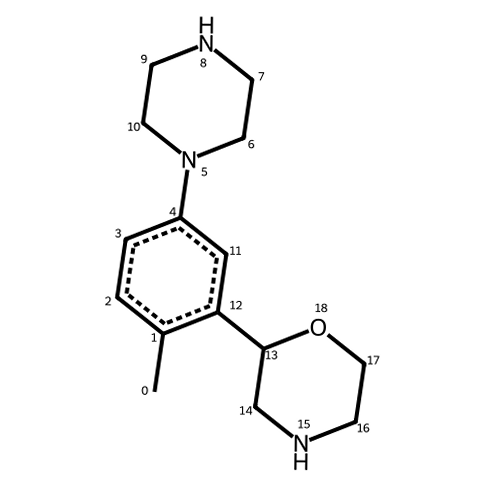 Cc1ccc(N2CCNCC2)cc1C1CNCCO1